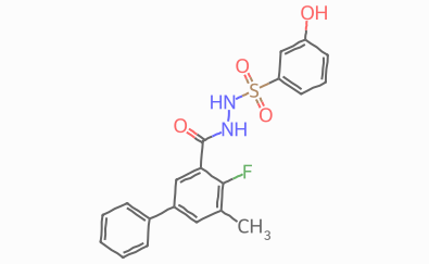 Cc1cc(-c2ccccc2)cc(C(=O)NNS(=O)(=O)c2cccc(O)c2)c1F